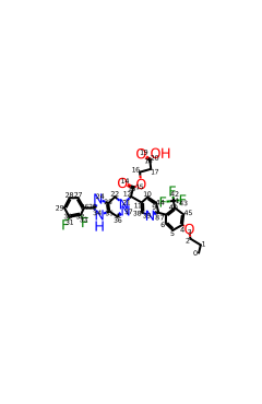 CCCOc1ccc(-c2ccc(C(C(=O)OCCC(=O)O)N3Cc4nc(-c5cccc(F)c5F)[nH]c4C=N3)cn2)c(C(F)(F)F)c1